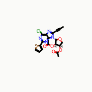 CC#Cc1nc2c(Cl)nc(-c3cccs3)nc2n1[C@@H]1OC[C@@H](OC(C)=O)[C@H]1OC(C)=O